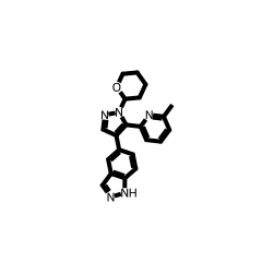 Cc1cccc(-c2c(-c3ccc4[nH]ncc4c3)cnn2C2CCCCO2)n1